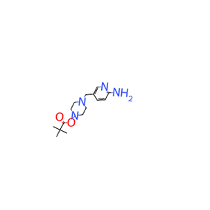 CC(C)(C)C(=O)ON1CCN(Cc2ccc(N)nc2)CC1